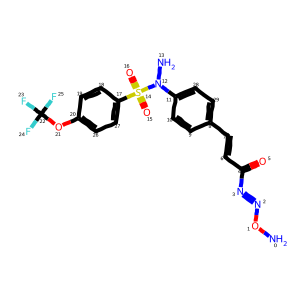 NON=NC(=O)/C=C/c1ccc(N(N)S(=O)(=O)c2ccc(OC(F)(F)F)cc2)cc1